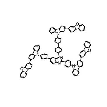 c1ccc2c(c1)oc1cc(-c3ccc4c5ccccc5n(-c5ccc(-c6ccc(-c7nc(-c8ccc(-n9c%10ccccc%10c%10ccc(-c%11ccc%12c(c%11)oc%11ccccc%11%12)cc%109)cc8)nc8ccc(-c9ccc(-n%10c%11ccccc%11c%11ccc(-c%12ccc%13c(c%12)oc%12ccccc%12%13)cc%11%10)cc9)cc78)cc6)cc5)c4c3)ccc12